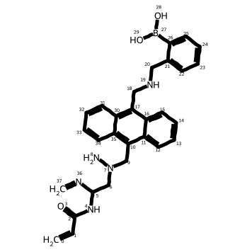 C=CC(=O)NC(CN(N)Cc1c2ccccc2c(CNCc2ccccc2B(O)O)c2ccccc12)N=C